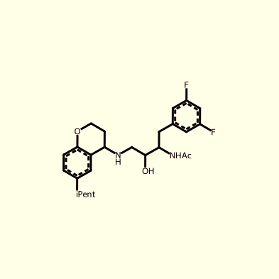 CCCC(C)c1ccc2c(c1)C(NCC(O)C(Cc1cc(F)cc(F)c1)NC(C)=O)CCO2